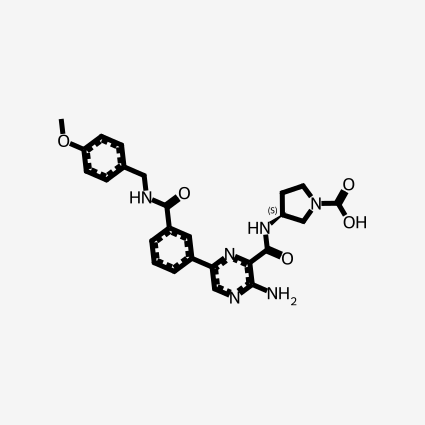 COc1ccc(CNC(=O)c2cccc(-c3cnc(N)c(C(=O)N[C@H]4CCN(C(=O)O)C4)n3)c2)cc1